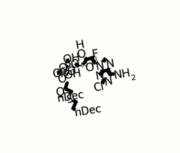 CCCCCCCCCCCCSCC(COP(=O)(O)OP(=O)(O)OC[C@H]1O[C@@H](n2cnc3c(N)nc(Cl)nc32)[C@H](F)C1O)OCCCCCCCCCC